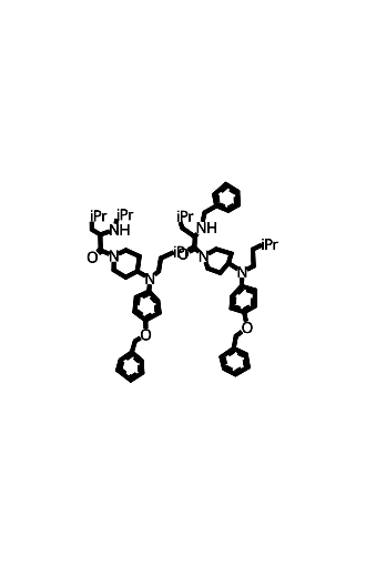 CC(C)CCN(c1ccc(OCc2ccccc2)cc1)C1CCN(C(=O)C(CC(C)C)NC(C)C)CC1.CC(C)CCN(c1ccc(OCc2ccccc2)cc1)C1CCN(C(=O)C(CC(C)C)NCc2ccccc2)CC1